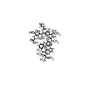 CC(C)[C@H](NC(=O)[C@H](C)NC(=O)[C@H](Cc1ccccc1)NC(=O)[C@@H]1CCCN1C(=O)[C@@H](NC(=O)[C@H](C)N)C(C)C)C(=O)N[C@@H](CCCCN)C(=O)N[C@@H](CO)C(=O)N[C@@H](CCC(=O)O)C(=O)O